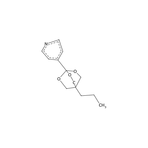 CCCC12COC(c3ccncc3)(OC1)OC2